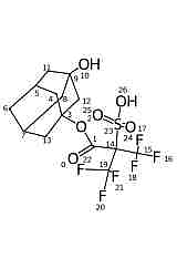 O=C(OC12CC3CC(CC(O)(C3)C1)C2)C(C(F)(F)F)(C(F)(F)F)S(=O)(=O)O